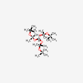 C[Si](C)(C)O[Si](C)(C)O[SiH](O[Si](C)(C)O[Si](C)(C)C)O[Si](C)(C)O[Si](C)(C)C